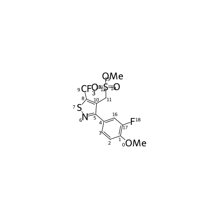 COc1ccc(-c2nsc(C(F)(F)F)c2CS(=O)(=O)OC)cc1F